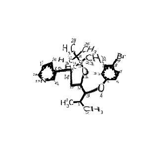 CC(C)C(Oc1ccc(Br)cc1)C(CCc1cccnc1)O[Si](C)(C)C(C)(C)C